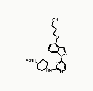 CC(=O)N[C@H]1CC[C@H](Nc2nccc(-n3ncc4c(OCCCO)cccc43)n2)CC1